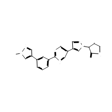 Cn1cc(-c2cccc(-c3ncc(-c4cnn(C5CCOC5=O)c4)cn3)c2)cn1